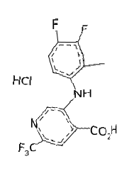 Cc1c(Nc2cnc(C(F)(F)F)cc2C(=O)O)ccc(F)c1F.Cl